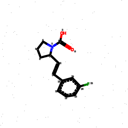 O=C(O)N1CCCC1C=Cc1cccc(F)c1